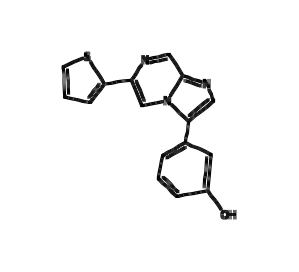 Oc1cccc(-c2cnc3cnc(-c4cccs4)cn23)c1